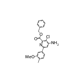 COc1cc(-c2cc(N)c(Cl)c(C(=O)OCc3ccccc3)n2)ccc1C